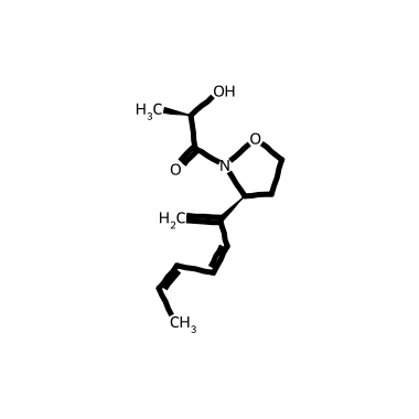 C=C(/C=C\C=C/C)[C@@H]1CCON1C(=O)[C@@H](C)O